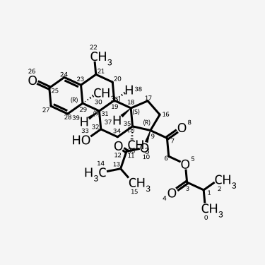 CC(C)C(=O)OCC(=O)[C@@]1(OC(=O)C(C)C)CC[C@H]2[C@@H]3CC(C)C4=CC(=O)C=C[C@]4(C)[C@H]3C(O)C[C@@]21C